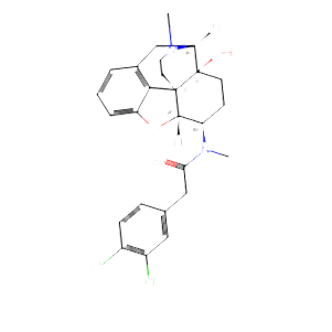 CN1CC[C@]23c4c5cccc4O[C@H]2[C@H](N(C)C(=O)Cc2ccc(Cl)c(Cl)c2)CC[C@@]3(O)[C@H]1C5